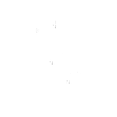 CCN(CC)C(=O)C1C=C2C3=CCCc4[nH]c(Br)c(c43)CC2N(C)C1